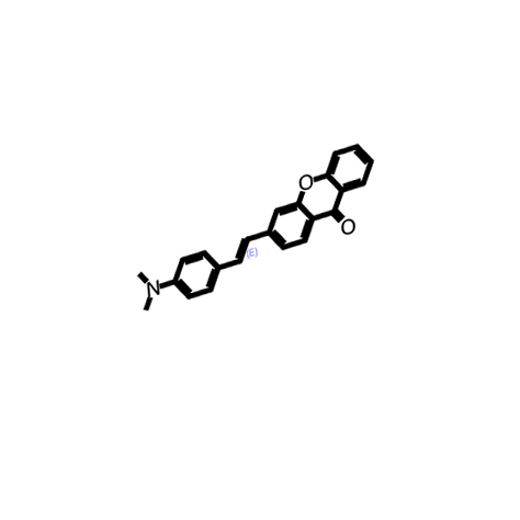 CN(C)c1ccc(/C=C/c2ccc3c(=O)c4ccccc4oc3c2)cc1